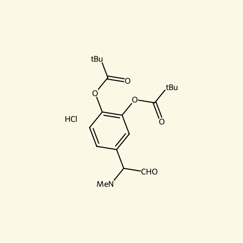 CNC(C=O)c1ccc(OC(=O)C(C)(C)C)c(OC(=O)C(C)(C)C)c1.Cl